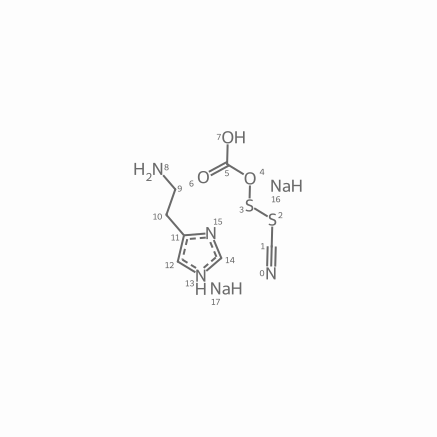 N#CSSOC(=O)O.NCCc1c[nH]cn1.[NaH].[NaH]